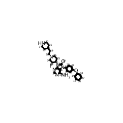 Nc1ncnc2c1n(-c1ccc(Oc3ccccc3)cc1)c(=O)n2[C@@H]1CCN(CCC2CCNCC2)C[C@H]1F